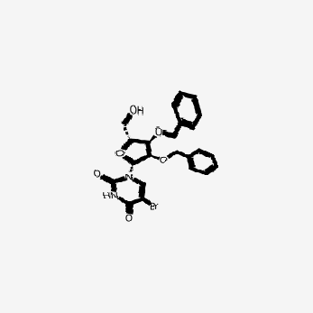 O=c1[nH]c(=O)n([C@@H]2O[C@H](CO)[C@@H](OCc3ccccc3)[C@H]2OCc2ccccc2)cc1Br